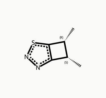 C[C@@H]1c2nnsc2[C@@H]1C